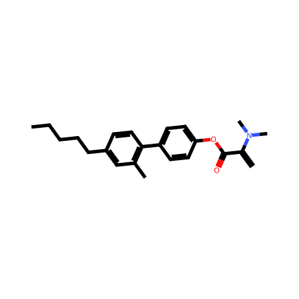 C=C(C(=O)Oc1ccc(-c2ccc(CCCCC)cc2C)cc1)N(C)C